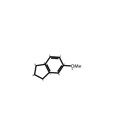 COc1[c]cc2c(c1)CCC2